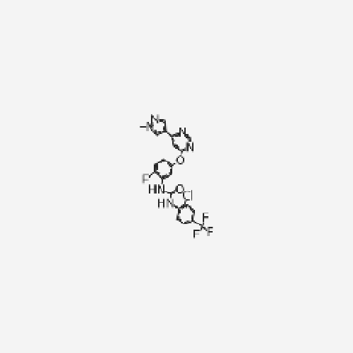 Cn1cc(-c2cc(Oc3ccc(F)c(NC(=O)Nc4ccc(C(F)(F)F)cc4Cl)c3)ncn2)cn1